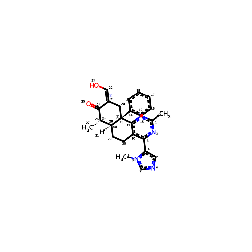 Cc1nc(-c2cncn2C)c2c(n1)[C@@]1(c3ccccc3)C/C(=C/O)C(=O)[C@@H](C)[C@@H]1CC2